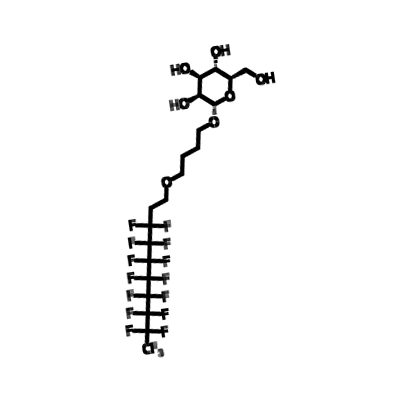 OC[C@H]1O[C@H](OCCCCOCCC(F)(F)C(F)(F)C(F)(F)C(F)(F)C(F)(F)C(F)(F)C(F)(F)C(F)(F)F)[C@@H](O)[C@@H](O)[C@@H]1O